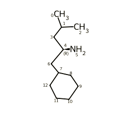 CC(C)C[C@@H](N)CC1CCCCC1